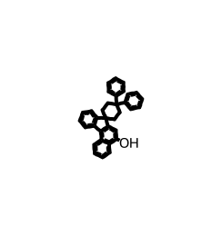 Oc1cc2c(c3ccccc13)-c1ccccc1C21CCC(c2ccccc2)(c2ccccc2)CC1